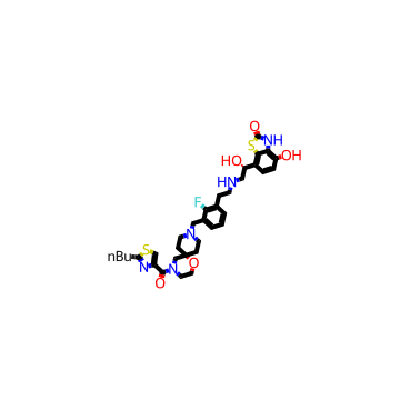 CCCCc1nc(C(=O)N2CCOC3(CCN(Cc4cccc(CCNC[C@H](O)c5ccc(O)c6[nH]c(=O)sc56)c4F)CC3)C2)cs1